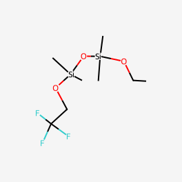 CCO[Si](C)(C)O[Si](C)(C)OCC(F)(F)F